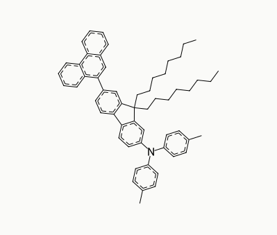 CCCCCCCCC1(CCCCCCCC)c2cc(-c3cc4ccccc4c4ccccc34)ccc2-c2ccc(N(c3ccc(C)cc3)c3ccc(C)cc3)cc21